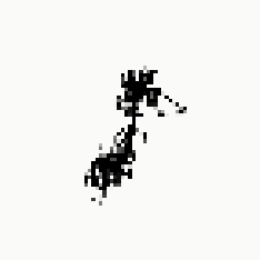 Cc1sc2c(c1C)C(c1ccc(Cl)cc1)=NC(PC(=O)NCCCCNC(=O)CNc1cccc3c1CN(C1CCC(=O)NC1O)C3=O)c1nnc(C)n1-2